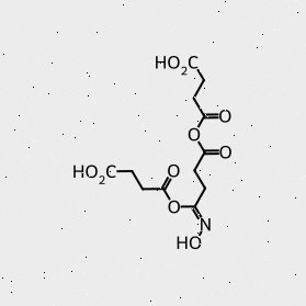 O=C(O)CCC(=O)OC(=O)CC/C(=N/O)OC(=O)CCC(=O)O